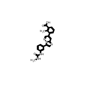 CNC(=O)Nc1cccc(-c2cnc3cc(-c4cccc(C(=O)O)c4C)cnn23)c1